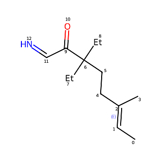 C/C=C(\C)CCC(CC)(CC)C(=O)C=N